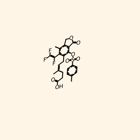 CC(=CCc1c(OS(=O)(=O)c2ccc(C)cc2)c2c(c(C)c1C(F)=C(F)F)COC2=O)CCC(=O)O